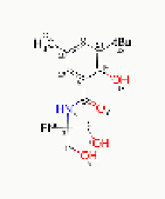 CCC(CO)(CO)NC(=O)c1cc(C)cc(C(C)(C)C)c1O